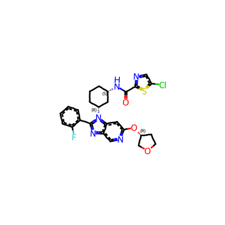 O=C(N[C@H]1CCC[C@@H](n2c(-c3ccccc3F)nc3cnc(O[C@@H]4CCOC4)cc32)C1)c1ncc(Cl)s1